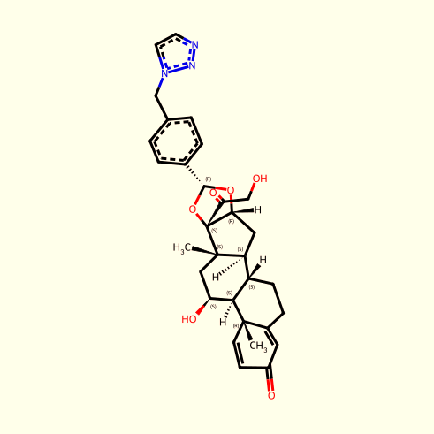 C[C@]12C=CC(=O)C=C1CC[C@@H]1[C@@H]2[C@@H](O)C[C@@]2(C)[C@H]1C[C@H]1O[C@@H](c3ccc(Cn4ccnn4)cc3)O[C@]12C(=O)CO